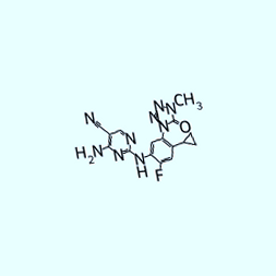 Cn1nnn(-c2cc(Nc3ncc(C#N)c(N)n3)c(F)cc2C2CC2)c1=O